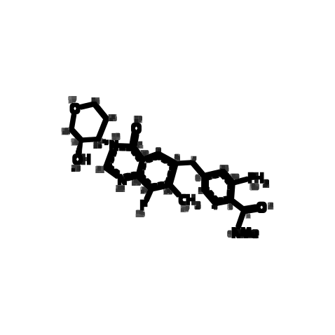 CNC(=O)c1ccc(Cc2cc3c(=O)n([C@H]4CCOC[C@@H]4O)cnc3c(F)c2C)cc1P